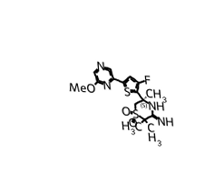 COc1cncc(-c2cc(F)c([C@]3(C)CS(=O)(=O)C(C)(C)C(=N)N3)s2)n1